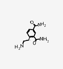 NC[CH]c1ccc(C(N)=O)cc1C(N)=O